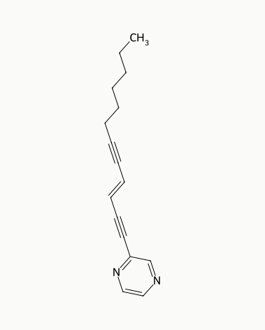 CCCCCCC#CC=CC#Cc1cnccn1